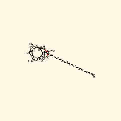 CC[C@H](C)[C@@H]1NC(=O)CNC(=O)[C@@H]2Cc3c([nH]c4c(CSCCOCCOCCOCCOCCOCCOCCOCCOCCOCCN=[N+]=[N-])c(OC)ccc34)[S+]([O-])C[C@H](NC(=O)CNC1=O)C(=O)N[C@@H](CC(N)=O)C(=O)N1C[C@H](O)C[C@H]1C(=O)N[C@@H]([C@@H](C)[C@@H](O)CO)C(=O)N2